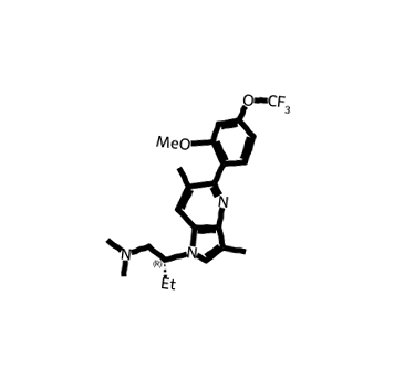 CC[C@H](CN(C)C)n1cc(C)c2nc(-c3ccc(OC(F)(F)F)cc3OC)c(C)cc21